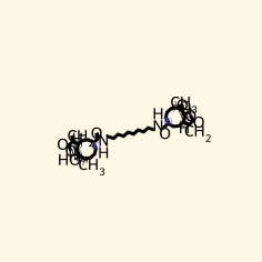 C=C1C(=O)O[C@@H]2[C@H](O)[C@@H](C)CC/C=C(/C(=O)NCCCCCCCCCCNC(=O)/C3=C/CC[C@@]4(C)O[C@H]4[C@H]4OC(=O)C(=C)[C@@H]4CC3)CC[C@@H]12